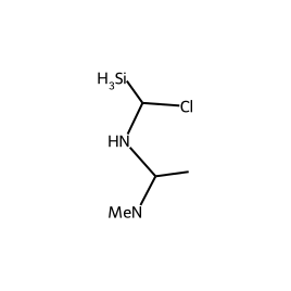 CNC(C)NC([SiH3])Cl